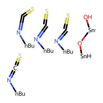 CCCCN=C=S.CCCCN=C=S.CCCCN=C=S.CCCCN=C=S.[OH][Sn][O][SnH]